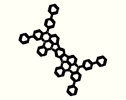 c1ccc(-c2ccc(N3c4ccc(-c5ccccc5)cc4B4c5ccccc5-n5c6cc7c(cc6c6ccc3c4c65)c3ccc4c5c3n7-c3ccccc3B5c3cc(-c5ccccc5)ccc3N4c3ccc(-c4ccccc4)cc3)cc2)cc1